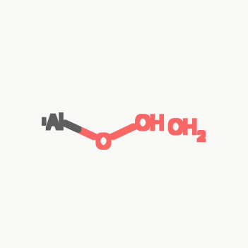 O.O[O][Al]